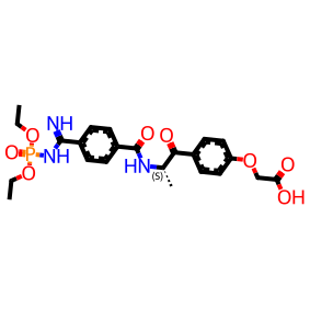 CCOP(=O)(NC(=N)c1ccc(C(=O)N[C@@H](C)C(=O)c2ccc(OCC(=O)O)cc2)cc1)OCC